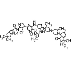 C=CC(=O)Nc1cc(Nc2nc(-c3ccnc(N4CCn5c(cc6c5CC(C)(C)C6)C4=O)c3CO)cn(C)c2=O)ccc1N1CCN(C2CCN(c3cccc4c3C(=O)NC4(C)C)[C@H](C)C2)C[C@@H]1C